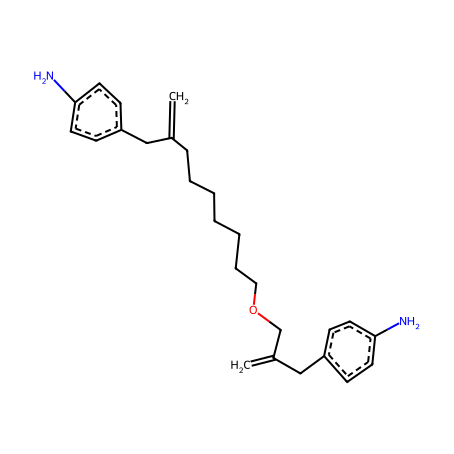 C=C(CCCCCCCOCC(=C)Cc1ccc(N)cc1)Cc1ccc(N)cc1